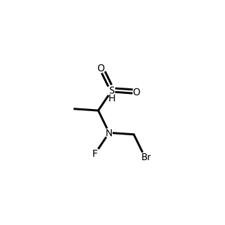 CC(N(F)CBr)[SH](=O)=O